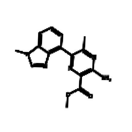 COC(=O)c1nc(-c2cccc3c2ncn3C)c(C)nc1N